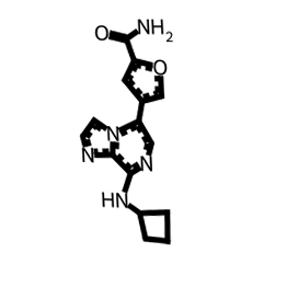 NC(=O)c1cc(-c2cnc(NC3CCC3)c3nccn23)co1